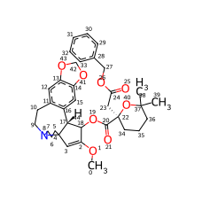 COC1=CC23CCCN2CCc2cc4c(cc2[C@@H]3C1OC(=O)[C@]1(CC(=O)OCc2ccccc2)CCCC(C)(C)O1)OCO4